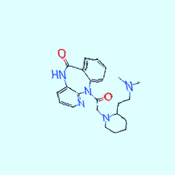 CN(C)CCC1CCCCN1CC(=O)N1c2ccccc2C(=O)Nc2cccnc21